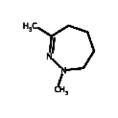 CC1=NN(C)CCCC1